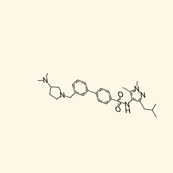 Cc1c(NS(=O)(=O)c2ccc(-c3cccc(CN4CCC(N(C)C)C4)c3)cc2)c(CC(C)C)nn1C